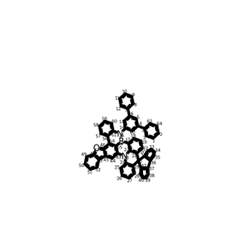 c1ccc(-c2cc(-c3ccccc3)cc(N3B4c5cccc6c5N(c5ccccc5C65c6ccccc6-c6ccccc65)c5cc6c(oc7ccccc76)c(c54)-c4ccccc43)c2)cc1